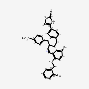 O=C(O)c1ccc(CC(/C=C\c2cc(F)ccc2OCc2ccccc2F)CCc2ccc(-c3noc(=O)[nH]3)cc2)cc1